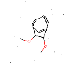 COC1c2cccc(c2)C1OC